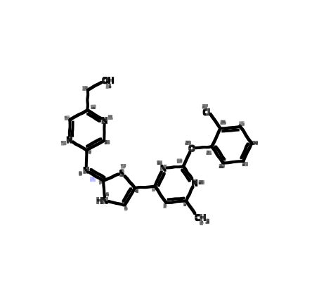 Cc1cc(-c2c[nH]/c(=N/c3cnc(CO)cn3)s2)nc(Oc2ccccc2Cl)n1